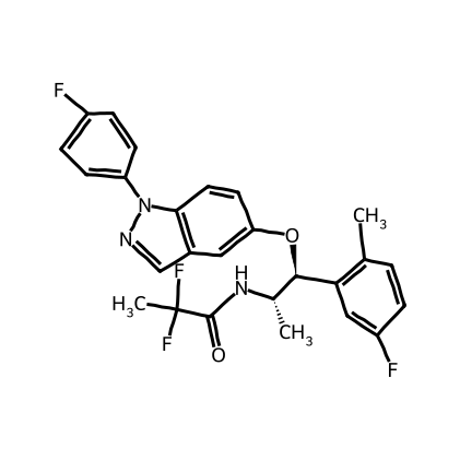 Cc1ccc(F)cc1[C@H](Oc1ccc2c(cnn2-c2ccc(F)cc2)c1)[C@H](C)NC(=O)C(C)(F)F